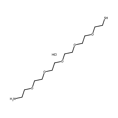 Cl.NCCOCCOCCOCCOCCOCCS